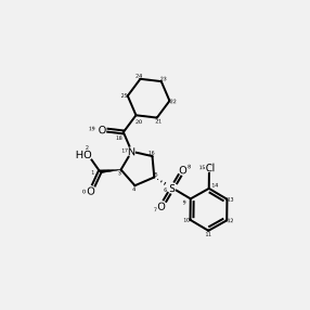 O=C(O)[C@@H]1C[C@@H](S(=O)(=O)c2ccccc2Cl)CN1C(=O)C1CCCCC1